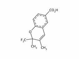 CC1=Cc2cc(C(=O)O)ccc2OC1(C)C(F)(F)F